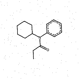 CCC(=O)N(c1ccccc1)C1CCCCC1